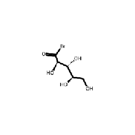 O=C(Br)[C@H](O)[C@H](O)[C@H](O)CO